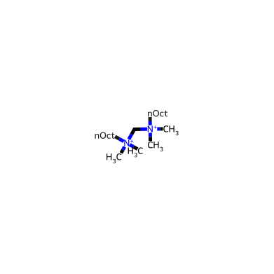 CCCCCCCC[N+](C)(C)C[N+](C)(C)CCCCCCCC